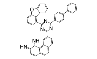 N=C1C=Cc2ccc3ccc(-c4nc(-c5ccc(-c6ccccc6)cc5)nc(-c5cccc6oc7ccccc7c56)n4)cc3c2C1=N